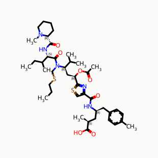 CCCSCN(C(=O)[C@@H](NC(=O)[C@H]1CCCCN1C)C(C)CC)[C@H](C[C@@H](OC(C)=O)c1nc(C(=O)N[C@@H](Cc2ccc(C)cc2)C[C@H](C)C(=O)O)cs1)C(C)C